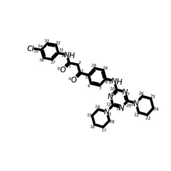 O=C(CC(=O)c1ccc(Nc2nc(N3CCCCC3)nc(N3CCCCC3)n2)cc1)Nc1ccc(Cl)cc1